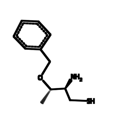 C[C@H](OCc1ccccc1)[C@@H](N)CS